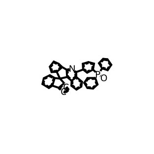 O=P(c1ccccc1)(c1ccccc1)c1cccc(-c2nc3c(c4ccccc24)C2(c4ccccc4-c4ccccc42)c2ccccc2-3)c1